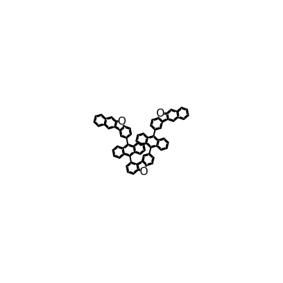 c1ccc2cc3c(cc2c1)oc1ccc(-c2c4ccccc4c(-c4ccc5oc6cccc(-c7c8ccccc8c(-c8ccc9oc%10cc%11ccccc%11cc%10c9c8)c8ccccc78)c6c5c4)c4ccccc24)cc13